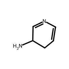 NC1C=NC=CC1